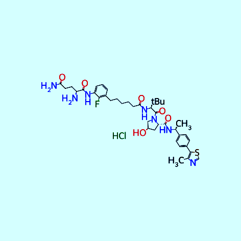 Cc1ncsc1-c1ccc([C@H](C)NC(=O)[C@@H]2C[C@@H](O)CN2C(=O)[C@@H](NC(=O)CCCCCc2cccc(NC(=O)[C@@H](N)CCC(N)=O)c2F)C(C)(C)C)cc1.Cl